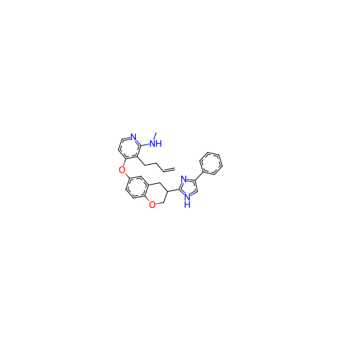 C=CCCc1c(Oc2ccc3c(c2)CC(c2nc(-c4ccccc4)c[nH]2)CO3)ccnc1NC